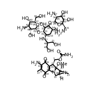 CO[C@@]12[C@H](COC(N)=O)C3=C(C(=O)C(C)=C(N)C3=O)N1C[C@H]1[C@@H]2N1C.NC[C@H]1O[C@H](O[C@H]2[C@H](O)[C@@H](O[C@H]3O[C@H](CO)[C@@H](O)[C@H](N)[C@H]3O)[C@H](NC(CO)CO)C[C@@H]2N)[C@H](N)[C@@H](O)[C@@H]1O